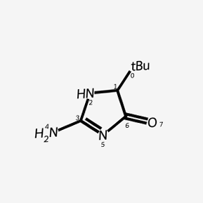 CC(C)(C)C1NC(N)=NC1=O